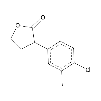 Cc1cc(C2CCOC2=O)ccc1Cl